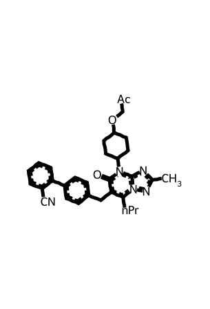 CCCc1c(Cc2ccc(-c3ccccc3C#N)cc2)c(=O)n(C2CCC(OCC(C)=O)CC2)c2nc(C)nn12